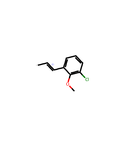 [CH2]/C=C/c1cccc(Cl)c1OC